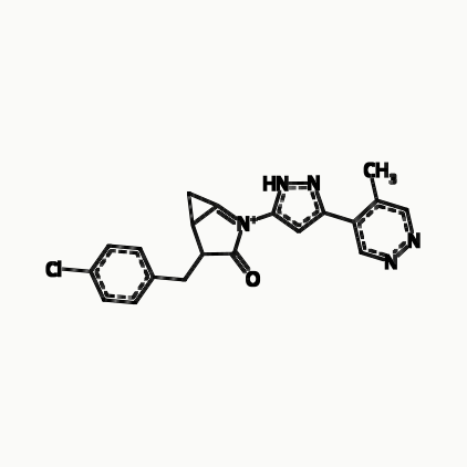 Cc1cnncc1-c1cc([N+]2=C3CC3C(Cc3ccc(Cl)cc3)C2=O)[nH]n1